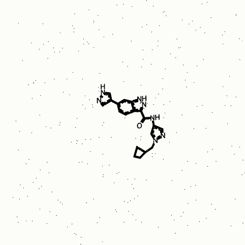 O=C(Nc1cnn(CC2CCC2)c1)c1n[nH]c2cc(-c3cn[nH]c3)ccc12